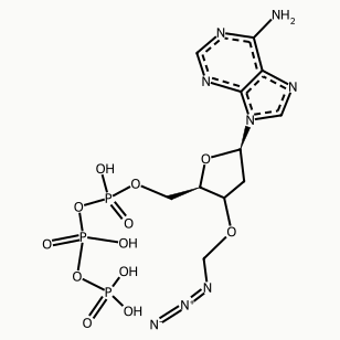 [N-]=[N+]=NCOC1C[C@H](n2cnc3c(N)ncnc32)O[C@@H]1COP(=O)(O)OP(=O)(O)OP(=O)(O)O